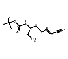 CC(C)(C)OC(=O)N[C@H](CO)CCC=CC#N